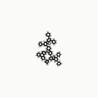 c1ccc(-c2cc(-c3ccccc3)c3oc4c(-c5ccc6c7ccc(-c8cc(-c9ccccc9)cc9c8oc8c(-c%10ccccc%10)cc(-c%10ccccc%10)cc89)cc7n(-c7ccc8c9ccccc9c9ccccc9c8c7)c6c5)cc(-c5ccccc5)cc4c3c2)cc1